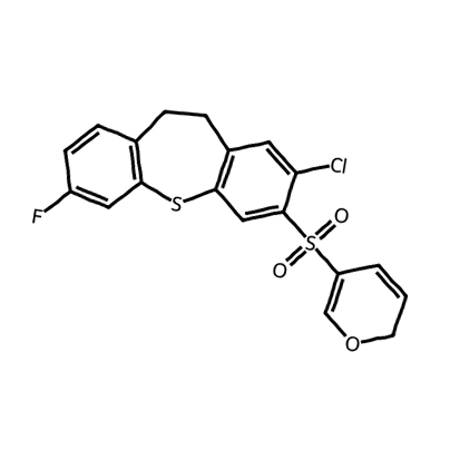 O=S(=O)(C1=COCC=C1)c1cc2c(cc1Cl)CCc1ccc(F)cc1S2